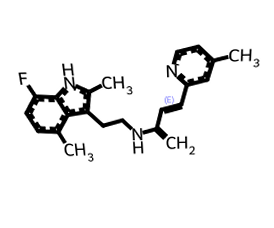 C=C(/C=C/c1cc(C)ccn1)NCCc1c(C)[nH]c2c(F)ccc(C)c12